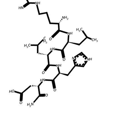 CC(C)C[C@H](NC(=O)[C@H](CC(C)C)NC(=O)[C@@H](N)CCCNC(=N)N)C(=O)N[C@@H](Cc1c[nH]cn1)C(=O)N[C@@H](CC(=O)O)C(N)=O